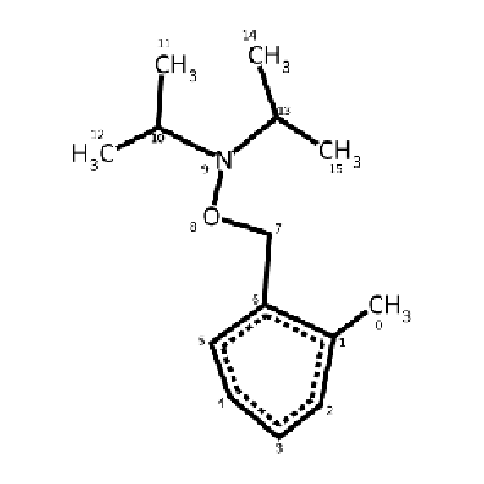 Cc1ccccc1CON(C(C)C)C(C)C